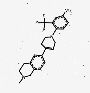 CN1CCc2cc(C3=CCN(c4ccc(N)cc4C(F)(F)F)CC3)ccc2C1